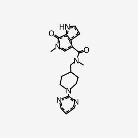 CN(CC1CCN(c2ncccn2)CC1)C(=O)c1cn(C)c(=O)c2[nH]ccc12